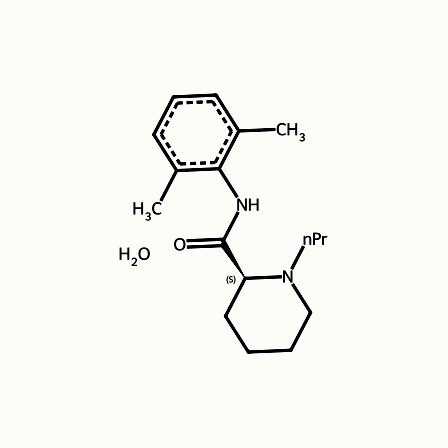 CCCN1CCCC[C@H]1C(=O)Nc1c(C)cccc1C.O